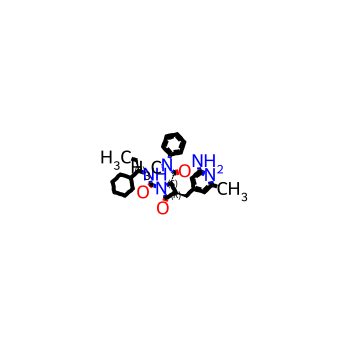 CC[C@@H](NC(=O)N1C(=O)[C@H](Cc2cc(C)nc(N)c2)[C@H]1C(=O)N(C)c1ccccc1)C1CCCCC1